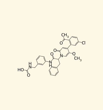 COc1cn(C(Cc2ccccc2)C(=O)Nc2cccc(CNC(=O)O)c2)c(=O)cc1-c1cc(Cl)ccc1C(C)=O